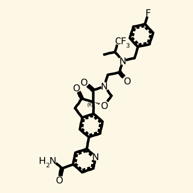 CC(N(Cc1ccc(F)cc1)C(=O)CN1CO[C@]2(C(=O)Cc3cc(-c4cc(C(N)=O)ccn4)ccc32)C1=O)C(F)(F)F